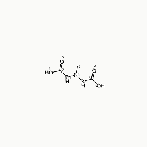 CN(BC(=O)O)BC(=O)O